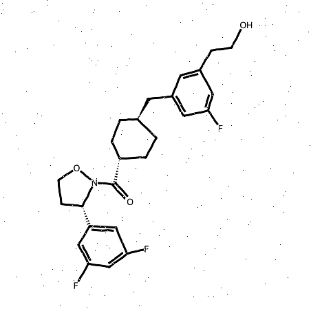 O=C([C@H]1CC[C@H](Cc2cc(F)cc(CCO)c2)CC1)N1OCC[C@H]1c1cc(F)cc(F)c1